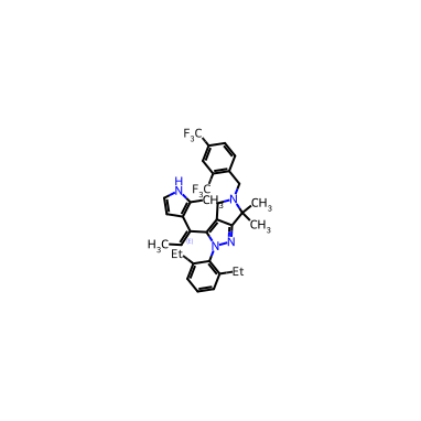 C/C=C(\c1cc[nH]c1C)c1c2c(nn1-c1c(CC)cccc1CC)C(C)(C)N(Cc1ccc(C(F)(F)F)cc1C(F)(F)F)C2